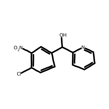 O=[N+]([O-])c1cc(C(O)c2ccccn2)ccc1Cl